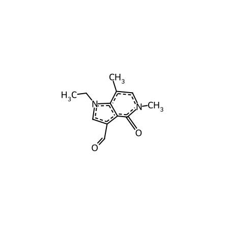 CCn1cc(C=O)c2c(=O)n(C)cc(C)c21